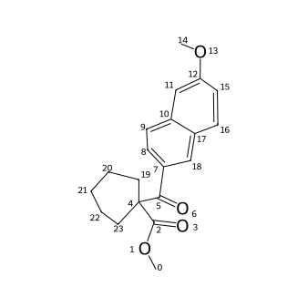 COC(=O)C1(C(=O)c2ccc3cc(OC)ccc3c2)CCCCC1